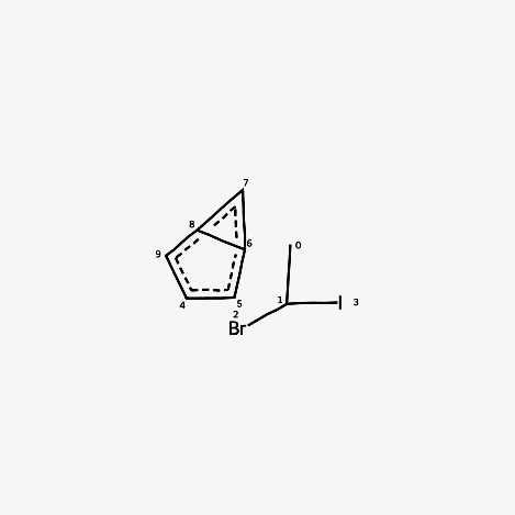 CC(Br)I.c1cc2cc-2c1